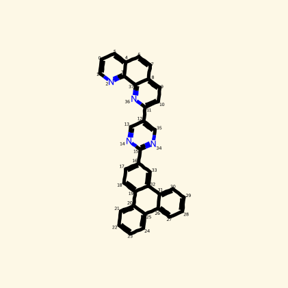 c1cnc2c(c1)ccc1ccc(-c3cnc(-c4ccc5c6ccccc6c6ccccc6c5c4)nc3)nc12